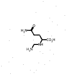 NCNC(CCC(N)=O)C(=O)O